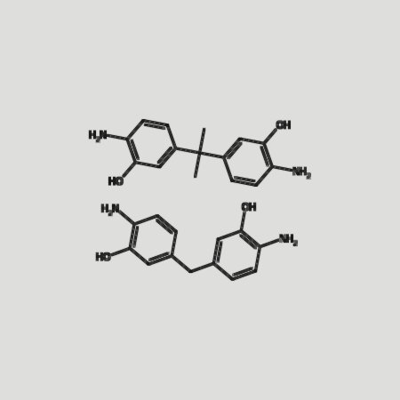 CC(C)(c1ccc(N)c(O)c1)c1ccc(N)c(O)c1.Nc1ccc(Cc2ccc(N)c(O)c2)cc1O